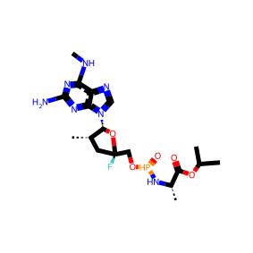 CNc1nc(N)nc2c1ncn2[C@@H]1O[C@](F)(CO[PH](=O)N[C@@H](C)C(=O)OC(C)C)C[C@@H]1C